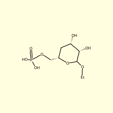 CCOC1O[C@H](COP(=O)(O)O)C[C@H](O)[C@@H]1O